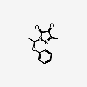 CC1=NN(C(C)Oc2ccccc2)C(=O)C1=O